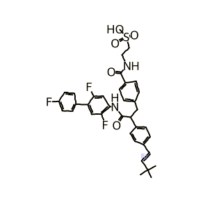 CC(C)(C)/C=C/c1ccc(C(Cc2ccc(C(=O)NCCS(=O)(=O)O)cc2)C(=O)Nc2cc(F)c(-c3ccc(F)cc3)cc2F)cc1